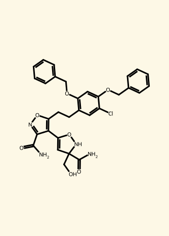 NC(=O)c1noc(CCc2cc(Cl)c(OCc3ccccc3)cc2OCc2ccccc2)c1C1=CC(CO)(C(N)=O)NO1